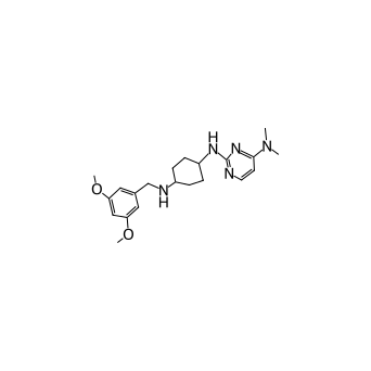 COc1cc(CNC2CCC(Nc3nccc(N(C)C)n3)CC2)cc(OC)c1